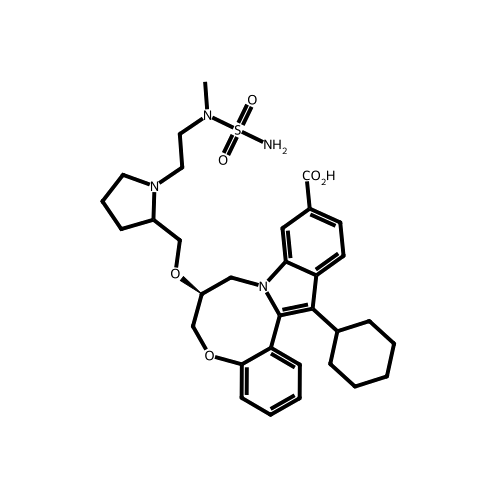 CN(CCN1CCCC1CO[C@@H]1COc2ccccc2-c2c(C3CCCCC3)c3ccc(C(=O)O)cc3n2C1)S(N)(=O)=O